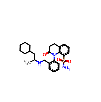 C[C@@H](CC1CCCCC1)NCc1ccccc1N1C(=O)CCc2cccc(S(N)(=O)=O)c21